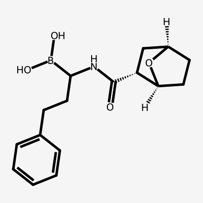 O=C(NC(CCc1ccccc1)B(O)O)[C@@H]1C[C@H]2CC[C@@H]1O2